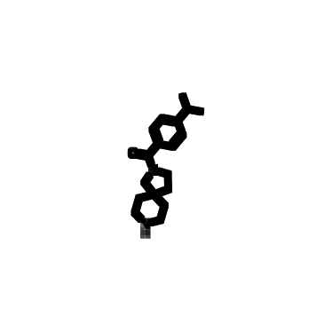 CC(C)c1ccc(C(=O)N2CCC3(CCNCC3)C2)cc1